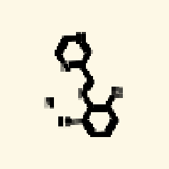 CCc1cccc(CC)c1N=Cc1cnccn1.[Ni]